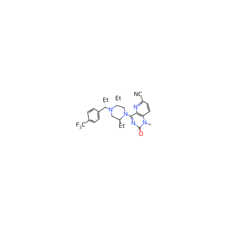 CC[C@H]1CN([C@@H](CC)c2ccc(C(F)(F)F)cc2)[C@H](CC)CN1c1nc(=O)n(C)c2ccc(C#N)nc12